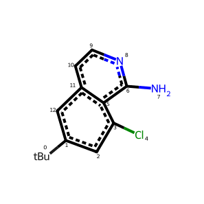 CC(C)(C)c1cc(Cl)c2c(N)nccc2c1